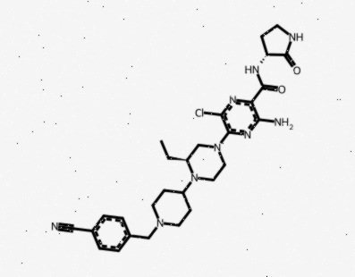 CC[C@H]1CN(c2nc(N)c(C(=O)N[C@@H]3CCNC3=O)nc2Cl)CCN1C1CCN(Cc2ccc(C#N)cc2)CC1